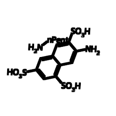 CCCCCN.Nc1cc2c(S(=O)(=O)O)cc(S(=O)(=O)O)cc2cc1S(=O)(=O)O